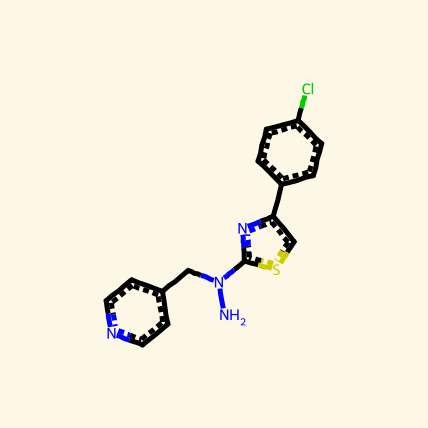 NN(Cc1ccncc1)c1nc(-c2ccc(Cl)cc2)cs1